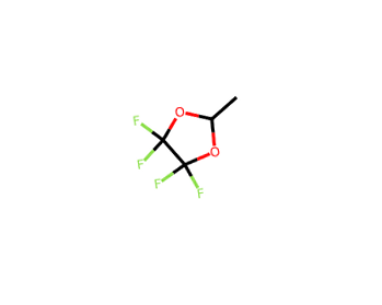 CC1OC(F)(F)C(F)(F)O1